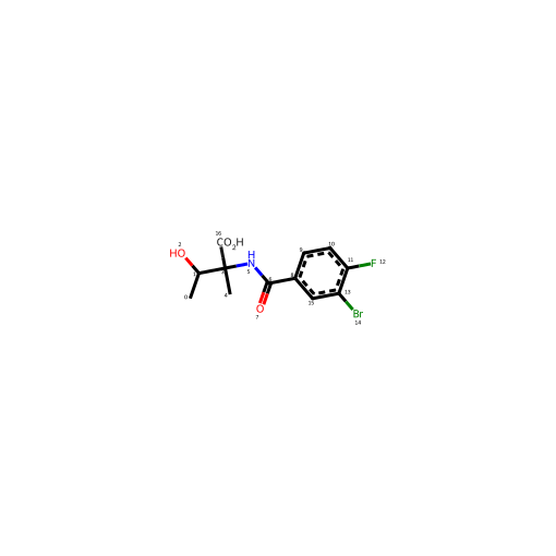 CC(O)C(C)(NC(=O)c1ccc(F)c(Br)c1)C(=O)O